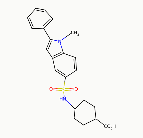 Cn1c(-c2ccccc2)cc2cc(S(=O)(=O)NC3CCC(C(=O)O)CC3)ccc21